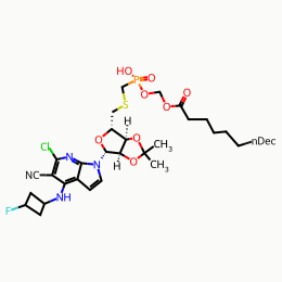 CCCCCCCCCCCCCCCC(=O)OCOP(=O)(O)CSC[C@H]1O[C@@H](n2ccc3c(NC4CC(F)C4)c(C#N)c(Cl)nc32)[C@@H]2OC(C)(C)O[C@@H]21